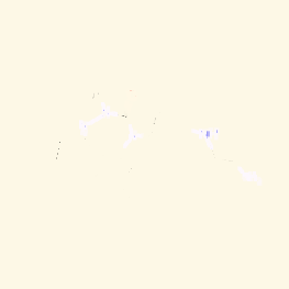 Cc1ccc2c(c1)N(c1ccc(NCCN)cc1)C(=O)N(C(C)C)N=C2C1CCCCC1